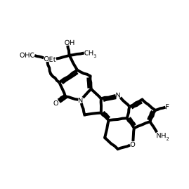 CCC(C)(O)c1cc2n(c(=O)c1COC=O)Cc1c-2nc2cc(F)c(N)c3c2c1CCO3